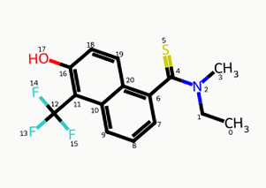 CCN(C)C(=S)c1cccc2c(C(F)(F)F)c(O)ccc12